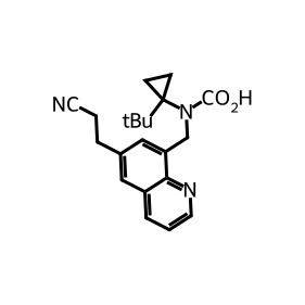 CC(C)(C)C1(N(Cc2cc(CCC#N)cc3cccnc23)C(=O)O)CC1